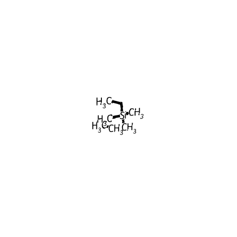 CC.CC[Si](C)(C)C